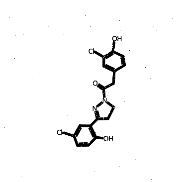 O=C(Cc1ccc(O)c(Cl)c1)N1CCC(c2cc(Cl)ccc2O)=N1